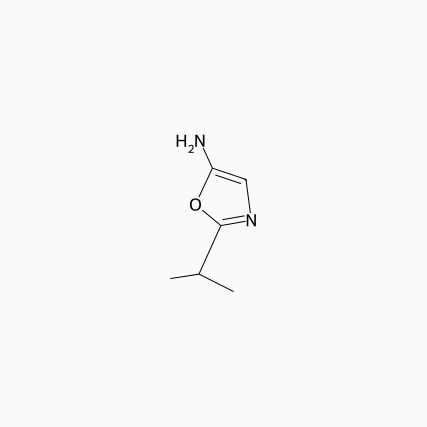 CC(C)c1ncc(N)o1